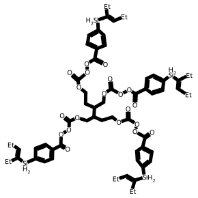 CCC=C(CC)[SiH2]c1ccc(C(=O)OOC(=O)OCCC(COC(=O)OOC(=O)c2ccc([SiH2]C(=CCC)CC)cc2)C(CCOC(=O)OOC(=O)c2ccc([SiH2]C(=CCC)CC)cc2)COC(=O)OOC(=O)c2ccc([SiH2]C(=CCC)CC)cc2)cc1